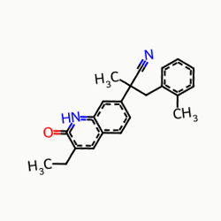 CCc1cc2ccc(C(C)(C#N)Cc3ccccc3C)cc2[nH]c1=O